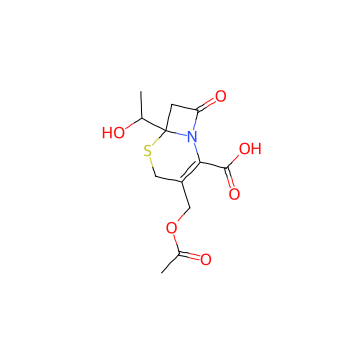 CC(=O)OCC1=C(C(=O)O)N2C(=O)CC2(C(C)O)SC1